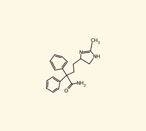 CC1=NC(CCC(C(N)=O)(c2ccccc2)c2ccccc2)CN1